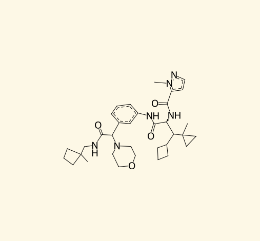 Cn1nccc1C(=O)N[C@H](C(=O)Nc1cccc(C(C(=O)NCC2(C)CCC2)N2CCOCC2)c1)C(C1CCC1)C1(C)CC1